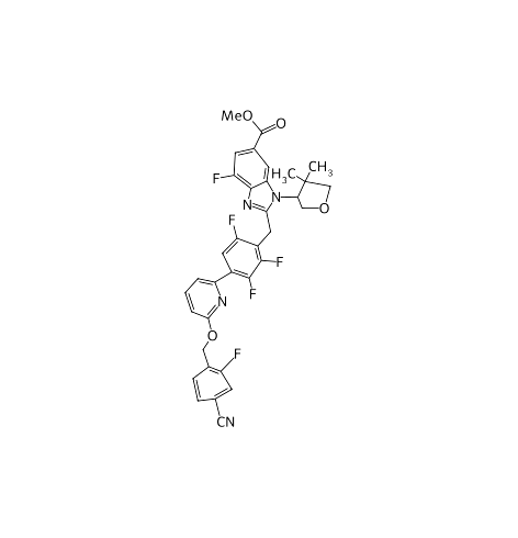 COC(=O)c1cc(F)c2nc(Cc3c(F)cc(-c4cccc(OCc5ccc(C#N)cc5F)n4)c(F)c3F)n(C3COCC3(C)C)c2c1